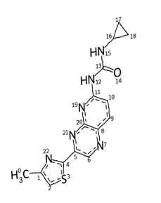 Cc1csc(-c2cnc3ccc(NC(=O)NC4CC4)nc3n2)n1